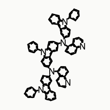 c1ccc(-n2c3ccccc3c3cc(N(c4ccc5c(c4)c4cc(N(c6ccc7c(c6)c6ccccc6n7-c6ccccc6)c6cccc7ncccc67)ccc4n5-c4ccccc4)c4cccc5ncccc45)ccc32)cc1